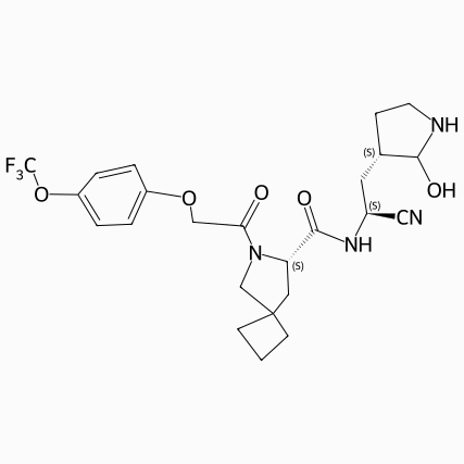 N#C[C@H](C[C@@H]1CCNC1O)NC(=O)[C@@H]1CC2(CCC2)CN1C(=O)COc1ccc(OC(F)(F)F)cc1